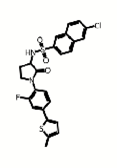 Cc1ccc(-c2ccc(N3CCC(NS(=O)(=O)c4ccc5cc(Cl)ccc5c4)C3=O)c(F)c2)s1